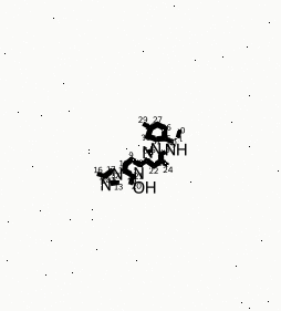 CC[C@H](Nc1nnc(-c2ccc(-n3cnc(C)c3)c(CO)n2)cc1C)c1ccc(C)cc1